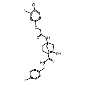 O=C(COc1ccc(Cl)c(F)c1)NC12CCC(C(=O)NCc3ccc(F)cc3)(CC1)C(O)C2